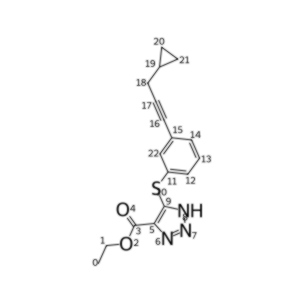 CCOC(=O)c1nn[nH]c1Sc1cccc(C#CCC2CC2)c1